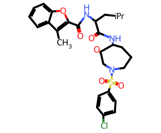 Cc1c(C(=O)NC(CC(C)C)C(=O)N[C@H]2CCCN(S(=O)(=O)c3ccc(Cl)cc3)CC2=O)oc2ccccc12